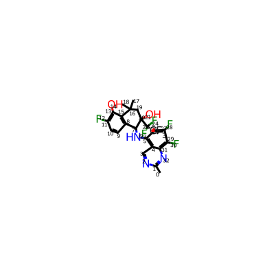 Cc1ncc2c(NC3c4ccc(F)c(O)c4C(C)(C)CC3(O)C(F)(F)C(F)(F)F)cc(F)c(F)c2n1